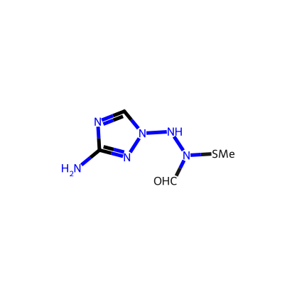 CSN(C=O)Nn1cnc(N)n1